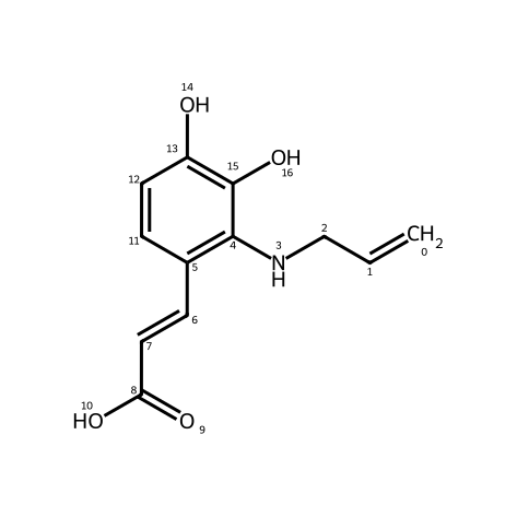 C=CCNc1c(C=CC(=O)O)ccc(O)c1O